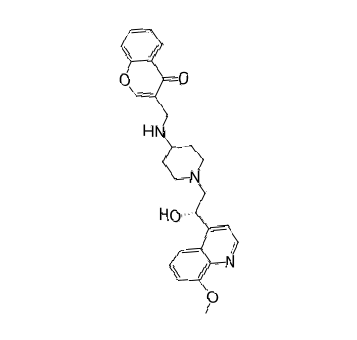 COc1cccc2c([C@H](O)CN3CCC(NCc4coc5ccccc5c4=O)CC3)ccnc12